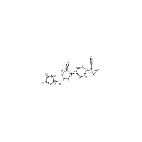 N#CC1(c2ccc(N3C[C@H](Cn4cnnn4)OC3=O)cc2)CC1